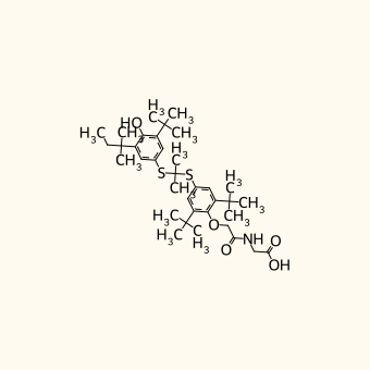 CCC(C)(C)c1cc(SC(C)(C)Sc2cc(C(C)(C)C)c(OCC(=O)NCC(=O)O)c(C(C)(C)C)c2)cc(C(C)(C)C)c1O